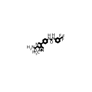 Cn1ncc2c(-c3ccc(NC(=O)Nc4cccc(C(F)(F)F)c4)cc3)cnc(C(N)=O)c21